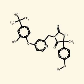 CCCc1cc(C(O)(C(F)(F)F)C(F)(F)F)ccc1Oc1ccnc(CN2C(=O)NC(C)(c3ccc(OC(C)C)cc3)C2=O)c1